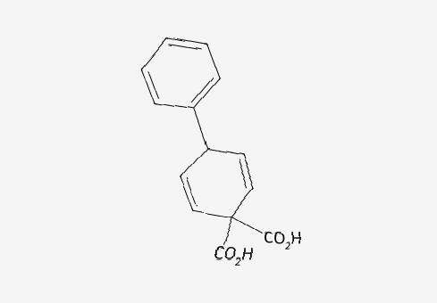 O=C(O)C1(C(=O)O)C=CC(c2ccccc2)C=C1